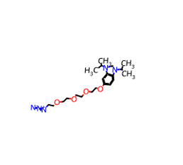 CC(C)N1CN(C(C)C)c2cc(OCCOCCOCCOCCN=[N+]=[N-])ccc21